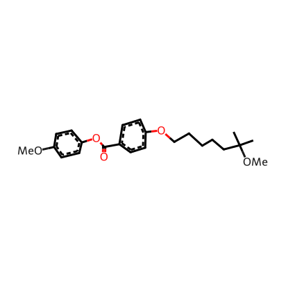 COc1ccc(OC(=O)c2ccc(OCCCCCC(C)(C)OC)cc2)cc1